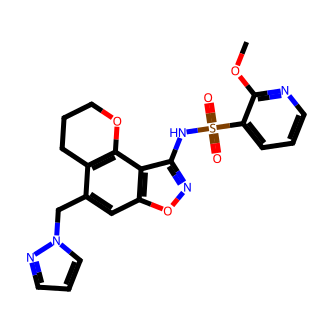 COc1ncccc1S(=O)(=O)Nc1noc2cc(Cn3cccn3)c3c(c12)OCCC3